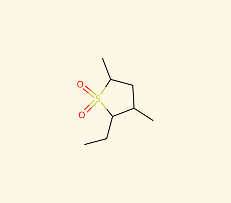 CCC1C(C)CC(C)S1(=O)=O